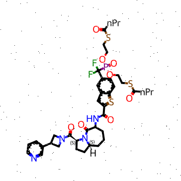 CCCC(=O)SCCOP(=O)(OCCSC(=O)CCC)C(F)(F)c1ccc2sc(C(=O)NC3CCC[C@H]4CC[C@@H](C(=O)N5CC(c6cccnc6)C5)N4C3=O)cc2c1